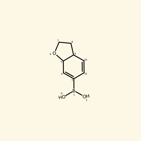 OB(O)C1=CC2OCCC2C=C1